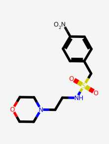 O=[N+]([O-])c1ccc(CS(=O)(=O)NCCN2CCOCC2)cc1